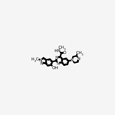 CNC(=O)c1nc(-c2cc3cn(C)nc3cc2O)nc2ccc(N3CC=NC(C)C3)cc12